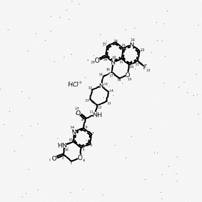 Cl.O=C1COc2ccc(C(=O)NC3CCN(C[C@@H]4COc5c(F)cnc6ccc(=O)n4c56)CC3)nc2N1